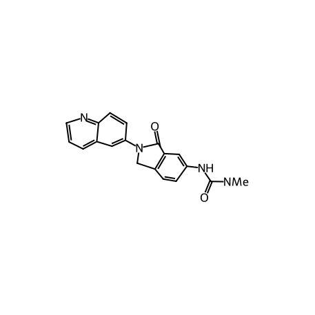 CNC(=O)Nc1ccc2c(c1)C(=O)N(c1ccc3ncccc3c1)C2